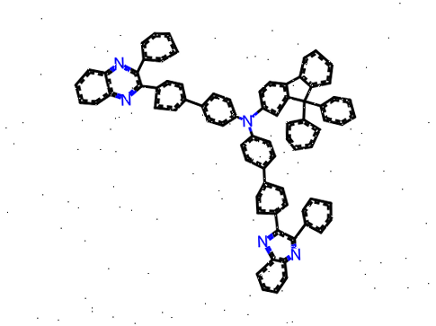 c1ccc(-c2nc3ccccc3nc2-c2ccc(-c3ccc(N(c4ccc(-c5ccc(-c6nc7ccccc7nc6-c6ccccc6)cc5)cc4)c4ccc5c(c4)C(c4ccccc4)(c4ccccc4)c4ccccc4-5)cc3)cc2)cc1